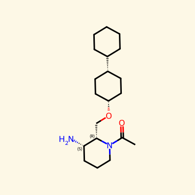 CC(=O)N1CCC[C@H](N)[C@@H]1CO[C@H]1CC[C@@H](C2CCCCC2)CC1